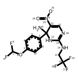 NC1(c2ccc(OC(F)F)cc2)NC(NCC(F)(F)F)=NC=C1[N+](=O)[O-]